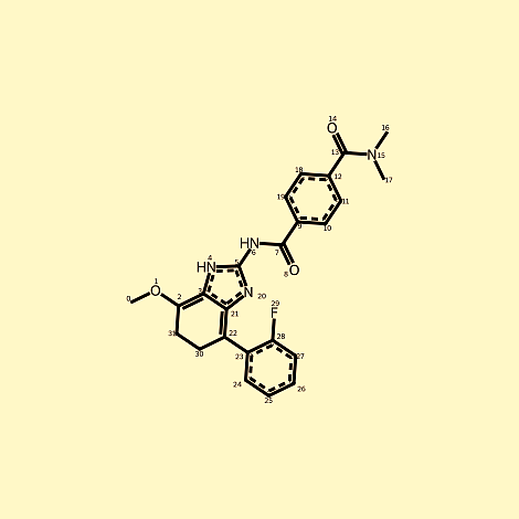 COC1=c2[nH]c(NC(=O)c3ccc(C(=O)N(C)C)cc3)nc2=C(c2ccccc2F)CC1